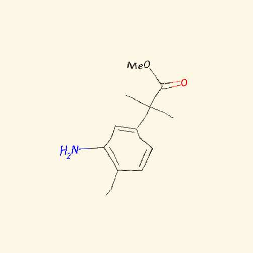 COC(=O)C(C)(C)c1ccc(C)c(N)c1